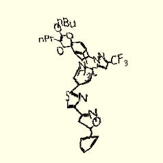 CCCCOc1oc2cc3c(I)c(c2c(=O)c1CCC)C(N1CCC(c2nc(C4=NOC(c5ccccc5)C4)cs2)CC1)C3n1nc(C(F)(F)F)cc1C